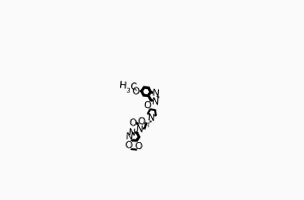 COc1ccc2ncnc(OC3CCN(C[C@@H]4CN(c5cc6c(nn5)OCCO6)C(=O)O4)C3)c2c1